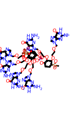 CS(=O)(=O)c1ccc(OP(=O)(Oc2ccc(S(C)(=O)=O)c(OCCOCn3cnc4c(=O)[nH]c(N)nc43)c2OCCOCn2cnc3c(=O)[nH]c(N)nc32)Oc2ccc(S(C)(=O)=O)c(OCCOCn3cnc4c(=O)[nH]c(N)nc43)c2OCCOCn2cnc3c(=O)[nH]c(N)nc32)c(OCCOCn2cnc3c(=O)[nH]c(N)nc32)c1OCCOCn1cnc2c(=O)[nH]c(N)nc21